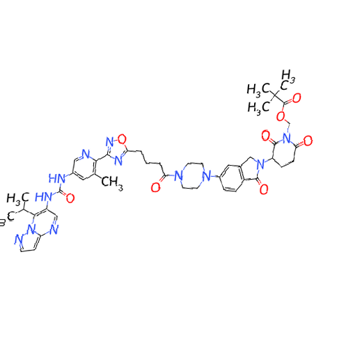 Cc1cc(NC(=O)Nc2cnc3ccnn3c2C(C)C)cnc1-c1noc(CCCC(=O)N2CCN(c3ccc4c(c3)CN(C3CCC(=O)N(COC(=O)C(C)(C)C)C3=O)C4=O)CC2)n1